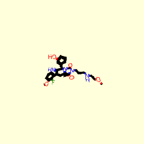 COCCNCCCN1C(=O)N2C(c3cccc(O)c3)c3[nH]c4ccc(OC)c(F)c4c3CC2(C)C1=O